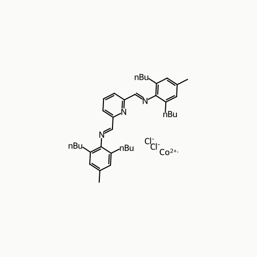 CCCCc1cc(C)cc(CCCC)c1N=Cc1cccc(C=Nc2c(CCCC)cc(C)cc2CCCC)n1.[Cl-].[Cl-].[Co+2]